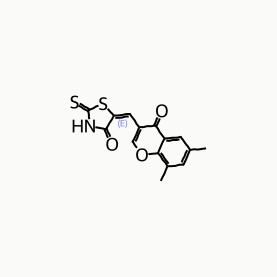 Cc1cc(C)c2occ(/C=C3/SC(=S)NC3=O)c(=O)c2c1